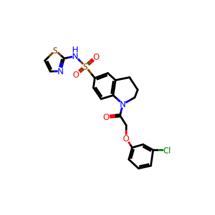 O=C(COc1cccc(Cl)c1)N1CCCc2cc(S(=O)(=O)Nc3nccs3)ccc21